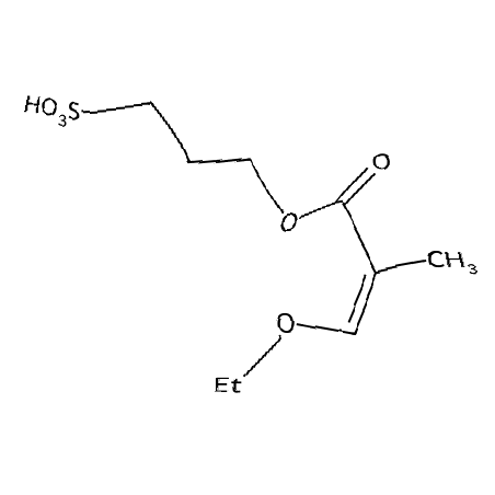 CCOC=C(C)C(=O)OCCCS(=O)(=O)O